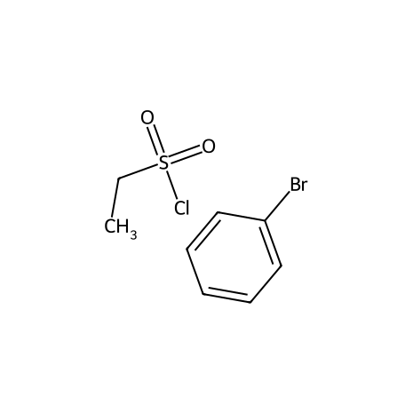 Brc1ccccc1.CCS(=O)(=O)Cl